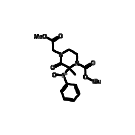 COC(=O)CN1CCN(C(=O)OC(C)(C)C)C(C)([S+]([O-])c2ccccc2)C1=O